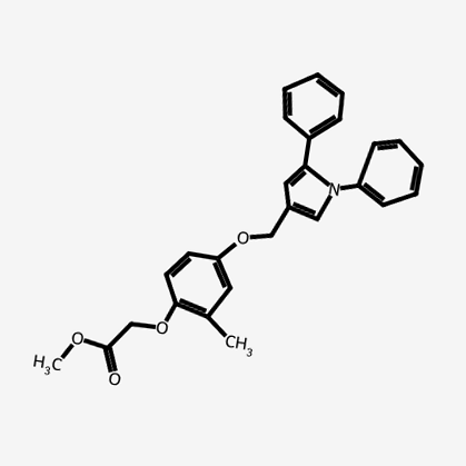 COC(=O)COc1ccc(OCc2cc(-c3ccccc3)n(-c3ccccc3)c2)cc1C